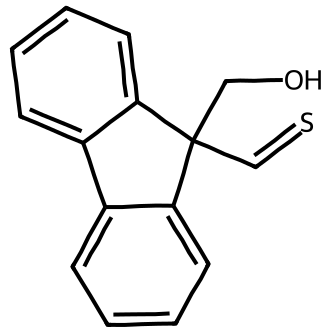 OCC1(C=S)c2ccccc2-c2ccccc21